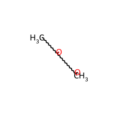 CCCCCCCCCCCCCC(=O)CCCCCCCCCCCCCCCC(C)=O